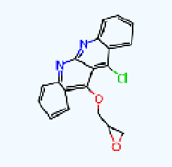 Clc1c2ccccc2nc2nc3ccccc3c(OCC3CO3)c12